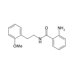 COc1ccccc1CCNC(=O)c1ccccc1N